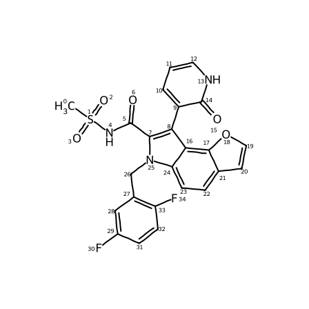 CS(=O)(=O)NC(=O)c1c(-c2ccc[nH]c2=O)c2c3occc3ccc2n1Cc1cc(F)ccc1F